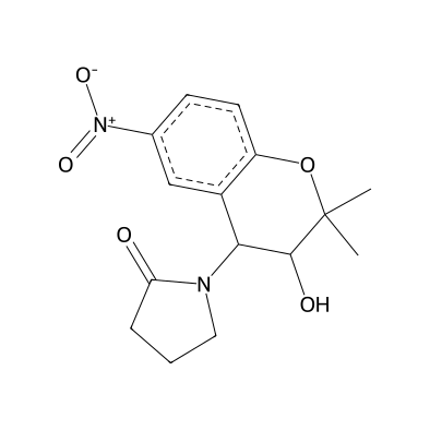 CC1(C)Oc2ccc([N+](=O)[O-])cc2C(N2CCCC2=O)C1O